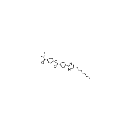 CCCCCCCCc1cnc(-c2ccc(C(=O)Oc3ccc(C(=O)[C@@H](C)CC)cc3)cc2)nc1